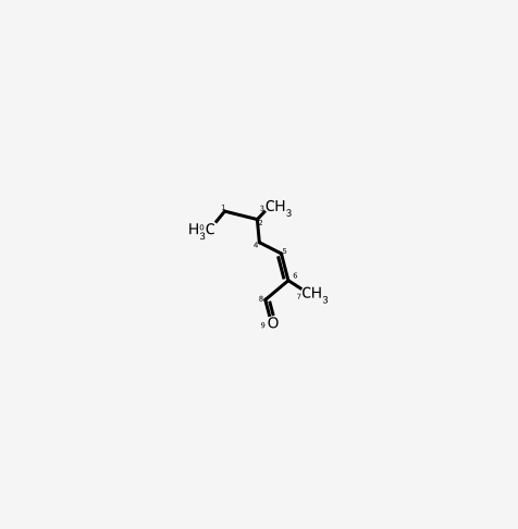 CCC(C)CC=C(C)C=O